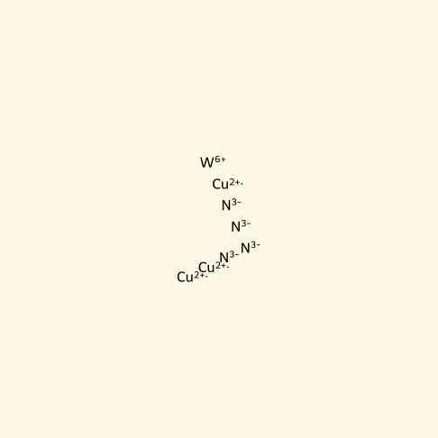 [Cu+2].[Cu+2].[Cu+2].[N-3].[N-3].[N-3].[N-3].[W+6]